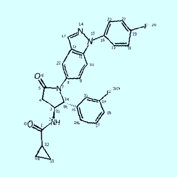 O=C(N[C@H]1CC(=O)N(c2ccc3c(cnn3-c3ccc(F)cc3)c2)[C@@H]1c1cccc(F)c1)C1CC1